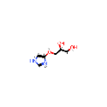 OCC(O)COc1c[nH]cn1